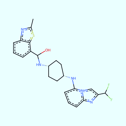 Cc1nc2cccc(C(O)N[C@H]3CC[C@@H](Nc4cccc5nc(C(F)F)cn45)CC3)c2s1